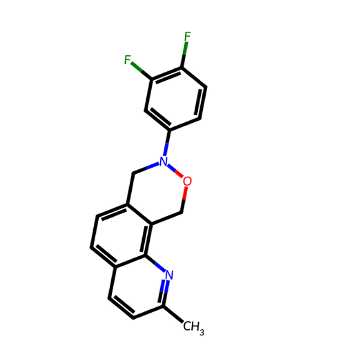 Cc1ccc2ccc3c(c2n1)CON(c1ccc(F)c(F)c1)C3